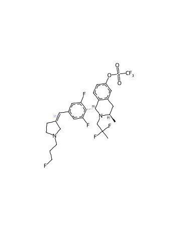 C[C@@H]1Cc2cc(OS(=O)(=O)C(F)(F)F)ccc2[C@@H](c2c(F)cc(/C=C3/CCN(CCCF)C3)cc2F)N1CC(C)(F)F